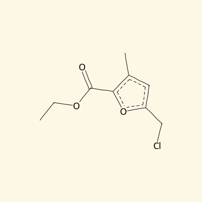 CCOC(=O)c1oc(CCl)cc1C